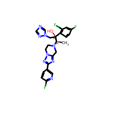 C[C@@H](N1CCn2nc(-c3ccc(F)nc3)nc2C1)[C@](O)(Cn1cncn1)c1ccc(F)cc1F